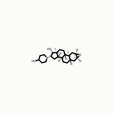 C[C@]12C[C@H]3O[C@H]3C[C@@H]1CC[C@@H]1[C@@H]2CC[C@]2(C)[C@@H](O)[C@@H](N3CCC(O)CC3)C[C@@H]12